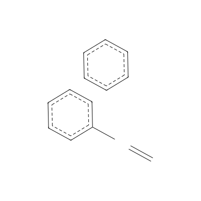 C=C.Cc1ccccc1.c1ccccc1